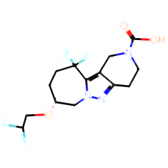 O=C(O)N1CCc2nn3c(c2C1)C(F)(F)CC[C@@H](OCC(F)F)C3